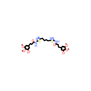 COc1cc(CCC(=O)Nc2nnc(CCCCc3nnc(NC(=O)CCc4cc(OC)c(OC)c(OC)c4)s3)s2)cc(OC)c1OC